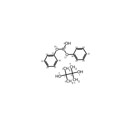 CC(C)(O)C(C)(C)O.OB(Oc1ccccc1)Oc1ccccc1